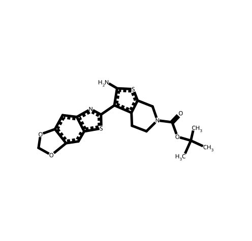 CC(C)(C)OC(=O)N1CCc2c(sc(N)c2-c2nc3cc4c(cc3s2)OCO4)C1